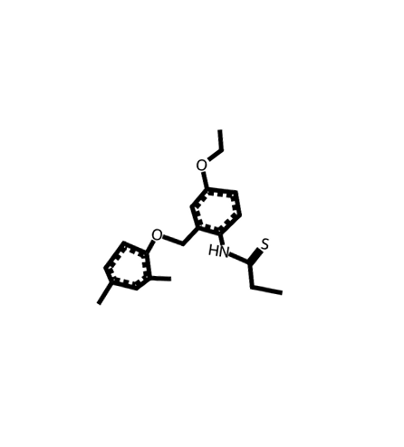 CCOc1ccc(NC(=S)CC)c(COc2ccc(C)cc2C)c1